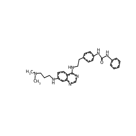 CN(C)CCCNc1ccc2c(NCCc3ccc(NC(=O)Nc4ccccc4)cc3)ncnc2c1